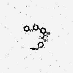 CC#CCN1CCC(NC(=O)c2n[nH]c3ccc(-c4cncc(Oc5ccccc5)c4)cc23)CC1